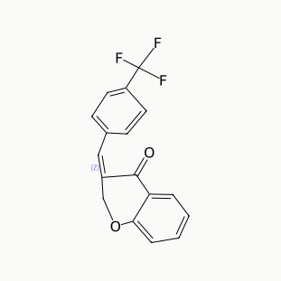 O=C1/C(=C\c2ccc(C(F)(F)F)cc2)COc2ccccc21